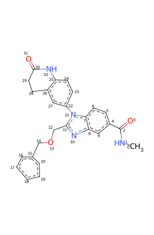 CNC(=O)c1ccc2c(c1)nc(COCc1ccccc1)n2-c1ccc2c(c1)CCC(=O)N2